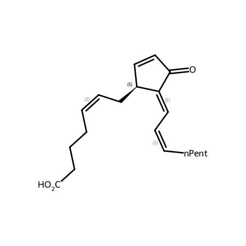 CCCCC/C=C\C=C1\C(=O)C=C[C@@H]1C/C=C\CCCC(=O)O